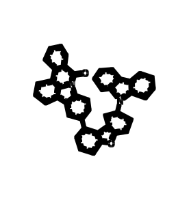 O=c1c2ccccc2c2cccc3c4cc(-c5cccc6oc7ccc(-n8c9ccccc9c9ccccc98)cc7c56)ccc4n1c23